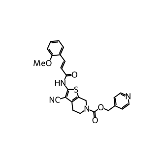 COc1ccccc1C=CC(=O)Nc1sc2c(c1C#N)CCN(C(=O)OCc1ccncc1)C2